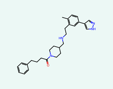 Cc1ccc(-c2cn[nH]c2)cc1CCNCC1CCN(C(=O)CCCc2ccccc2)CC1